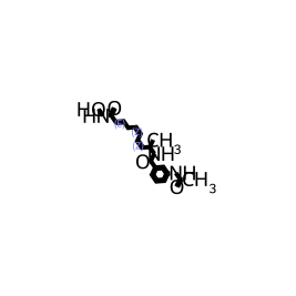 CC(=O)Nc1cccc(C(=O)NC(C)/C=C\C=C/C/C=C/C(=O)NO)c1